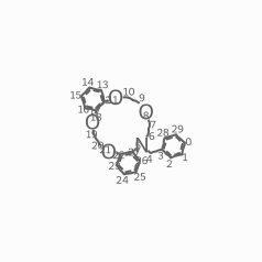 c1ccc(CN2CCOCCOc3ccccc3OCCOc3ccccc32)cc1